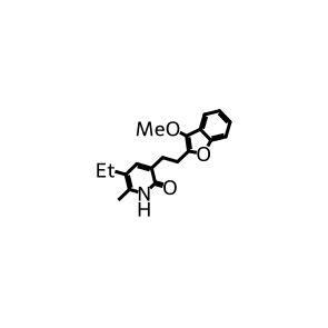 CCc1cc(CCc2oc3ccccc3c2OC)c(=O)[nH]c1C